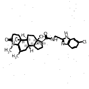 CC1=C2N(C)C(=O)CC[C@]2(C)[C@H]2CC[C@]3(C)[C@@H](C(=O)NCc4nc5ccc(Cl)cc5[nH]4)CC[C@H]3[C@@H]2C1